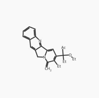 C=C1C(CC)=C(C(CC)(OCC)C(C)=O)C=C2c3nc4ccccc4cc3CN12